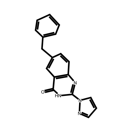 O=c1[nH]c(-n2cccn2)nc2ccc(Cc3ccccc3)cc12